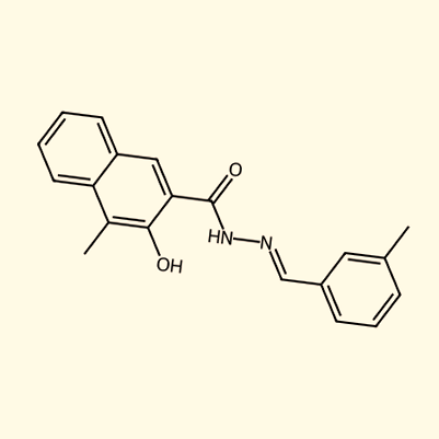 Cc1cccc(C=NNC(=O)c2cc3ccccc3c(C)c2O)c1